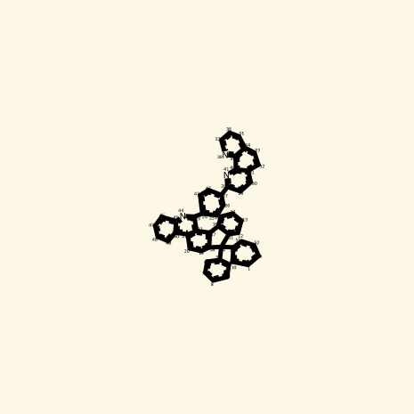 c1ccc(C2(c3ccccc3)c3ccccc3-c3c2ccc2c3c(-c3ccc(-c4ccc5ccc6cccnc6c5n4)cc3)nc3ccccc32)cc1